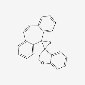 C1=Cc2ccccc2C2(SC23CCOc2ccccc23)c2ccccc21